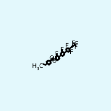 CCCc1ccc(C(=O)Oc2ccc(-c3ccc(-c4cc(F)c(C#CC(F)(F)F)c(F)c4)c(F)c3)c(F)c2)cc1